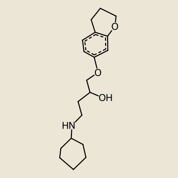 OC(CCNC1CCCCC1)COc1ccc2c(c1)OCCC2